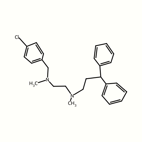 CN(CCC(c1ccccc1)c1ccccc1)CCN(C)Cc1ccc(Cl)cc1